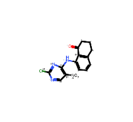 O=C1CCCc2cccc(Nc3nc(Cl)ncc3[N+](=O)[O-])c21